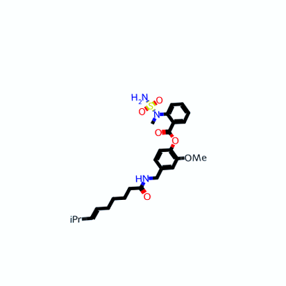 COc1cc(CNC(=O)CCCC/C=C/C(C)C)ccc1OC(=O)c1ccccc1N(C)S(N)(=O)=O